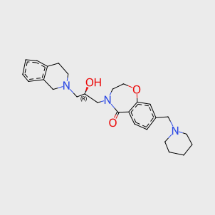 O=C1c2ccc(CN3CCCCC3)cc2OCCN1C[C@H](O)CN1CCc2ccccc2C1